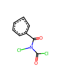 O=C(Cl)N(Cl)C(=O)c1ccccc1